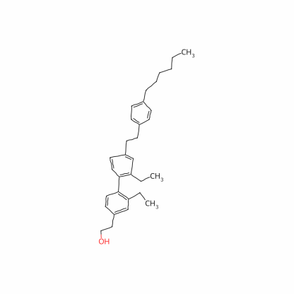 CCCCCCc1ccc(CCc2ccc(-c3ccc(CCO)cc3CC)c(CC)c2)cc1